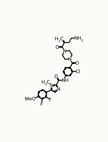 C=C(CCN)C(=O)N1CCN(C(=O)c2ccc(NC(=O)c3ncc(-c4ccc(OC)c(F)c4F)n3C)cc2Cl)CC1